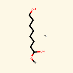 CC(C)OC(O)CCCCCCCO.[Ti]